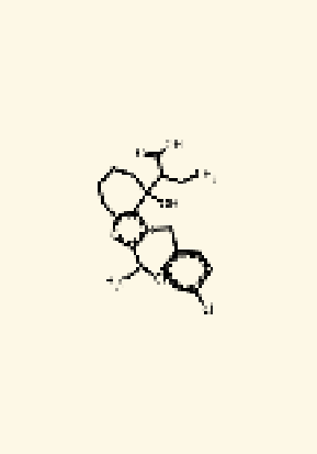 CCC(C(=O)O)C1(O)CCCCc2nc(C(C)C)n(Cc3ccc(Cl)cc3)c21